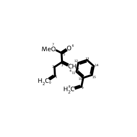 C=CCC(=C)C(=O)OC.C=Cc1ccccc1